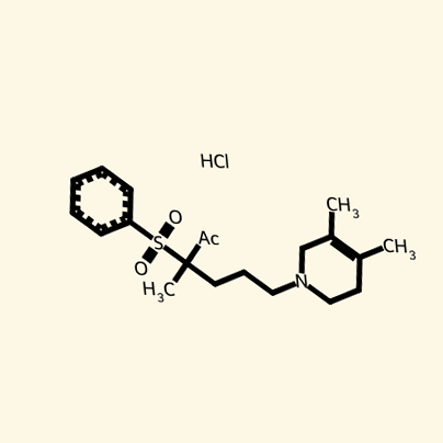 CC(=O)C(C)(CCCN1CCC(C)=C(C)C1)S(=O)(=O)c1ccccc1.Cl